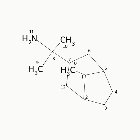 CC1C2CCC1CC(C(C)(C)N)C2